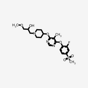 COCC(O)CN1CCC(Oc2ncnc(Oc3ccc(S(C)(=O)=O)cc3F)c2C)CC1